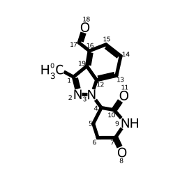 Cc1nn(C2CCC(=O)NC2=O)c2cccc(C=O)c12